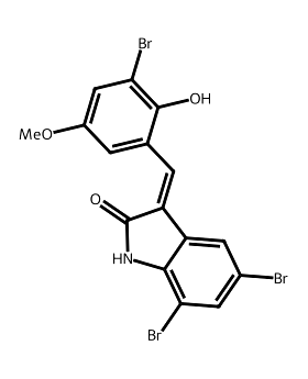 COc1cc(Br)c(O)c(C=C2C(=O)Nc3c(Br)cc(Br)cc32)c1